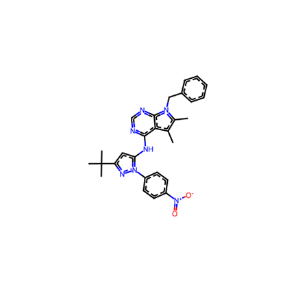 Cc1c(C)n(Cc2ccccc2)c2ncnc(Nc3cc(C(C)(C)C)nn3-c3ccc([N+](=O)[O-])cc3)c12